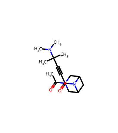 CC(=O)N1CC2CC(C1)N2C(=O)C#CC(C)(C)N(C)C